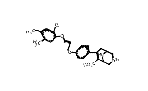 Cc1cc(Cl)c(OCCOc2ccc(C3=C(C(=O)O)C4CNCC(C3)N4)cc2)cc1C